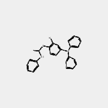 CCc1cc(N(c2ccccc2)c2ccccc2)ccc1SC(C)Nc1ccccc1